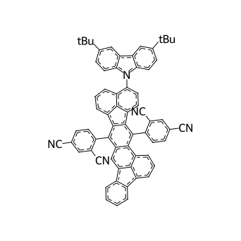 CC(C)(C)c1ccc2c(c1)c1cc(C(C)(C)C)ccc1n2-c1ccc2c3c(-c4ccc(C#N)cc4C#N)c4c(cc5c6ccccc6c6cccc4c65)c(-c4ccc(C#N)cc4C#N)c3c3cccc1c32